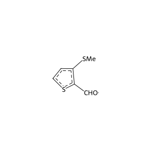 CSc1ccsc1[C]=O